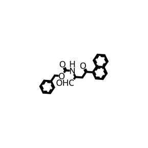 O=CC(CC(=O)c1cccc2ccccc12)NC(=O)OCc1ccccc1